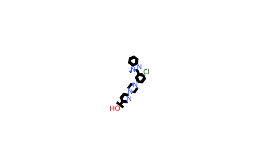 Cn1c(-c2cc(N3CCN(c4ccc(C(C)(C)O)cn4)CC3)ccc2Cl)nc2ccccc21